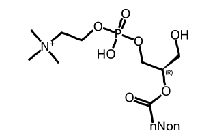 CCCCCCCCCC(=O)O[C@H](CO)COP(=O)(O)OCC[N+](C)(C)C